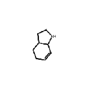 [C]1CC2CCC=CC2N1